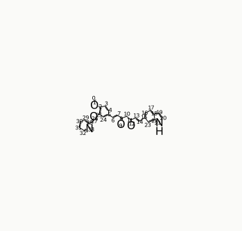 COc1ccc(C=CC(=O)CC(=O)C=Cc2ccc3cc[nH]c3c2)cc1OCc1ccccn1